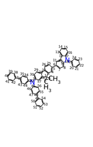 CC1(C)c2cc(-c3ccc4c(c3)c3ccccc3n4-c3ccccc3)ccc2-c2ccc(N(c3ccc(-c4ccccc4)cc3)c3ccc(-c4ccccc4)cc3)cc21